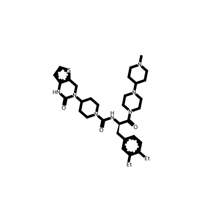 CCc1ccc(C[C@@H](NC(=O)N2CCC(N3Cc4sccc4NC3=O)CC2)C(=O)N2CCN(C3CCN(C)CC3)CC2)cc1CC